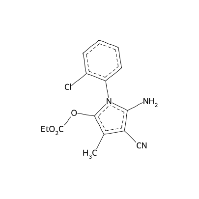 CCOC(=O)Oc1c(C)c(C#N)c(N)n1-c1ccccc1Cl